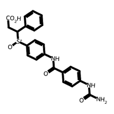 NC(=O)Nc1ccc(C(=O)Nc2ccc([S+]([O-])C(CC(=O)O)c3ccccc3)cc2)cc1